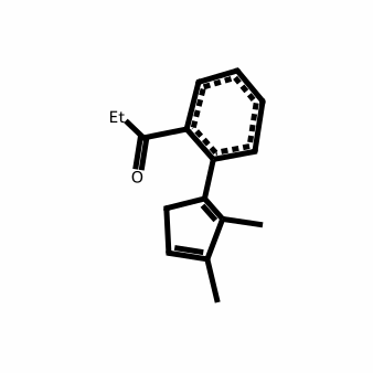 CCC(=O)c1ccccc1C1=C(C)C(C)=CC1